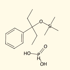 CCC(CC)(O[Si](C)(C)C)c1ccccc1.O=[PH](O)O